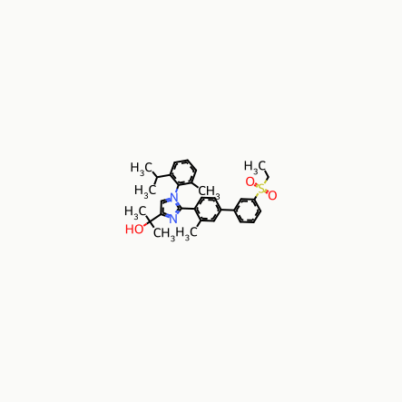 CCS(=O)(=O)c1cccc(-c2ccc(-c3nc(C(C)(C)O)cn3-c3c(C)cccc3C(C)C)c(C)c2)c1